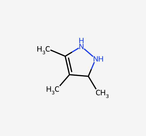 CC1=C(C)C(C)NN1